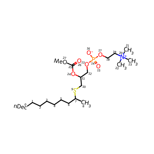 CCCCCCCCCCCCCCCCC(C)SCC(COP(=O)([O-])OCC[N+](C)(C)C)OC(=O)OC